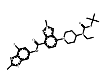 CCN(C(=O)OC(C)(C)C)C1CCN(c2ccc(C(=O)Nc3cc(F)c4nc(C)sc4c3)c3nn(C)cc23)CC1